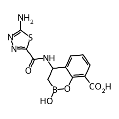 Nc1nnc(C(=O)NC2CB(O)Oc3c(C(=O)O)cccc32)s1